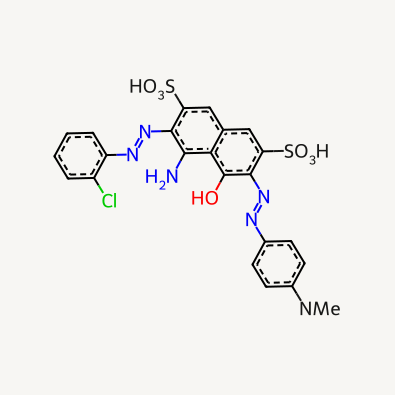 CNc1ccc(N=Nc2c(S(=O)(=O)O)cc3cc(S(=O)(=O)O)c(N=Nc4ccccc4Cl)c(N)c3c2O)cc1